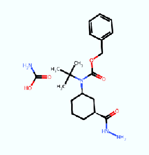 CC(C)(C)N(C(=O)OCc1ccccc1)[C@@H]1CCC[C@H](C(=O)NN)C1.NC(=O)O